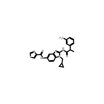 CC(C(=O)Nc1nc2cc(NC(=O)c3cscn3)ccc2n1CC1CC1)c1cccc(C(F)(F)F)c1